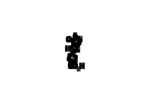 Cn1ncc2nc(N3CCN(C(=O)O)CC3)[nH]c2c1=O